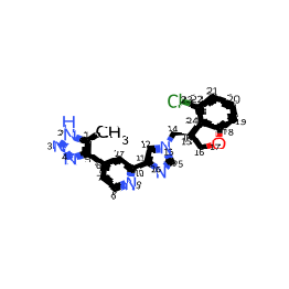 Cc1[nH]nnc1-c1ccnc(-c2cn(C[C@@H]3COc4cccc(Cl)c43)cn2)c1